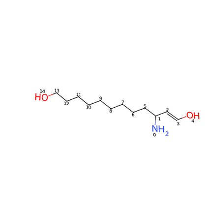 NC(C=CO)CCCCCCCCCO